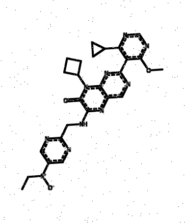 CC[S+]([O-])c1cnc(CNc2nc3cnc(-c4c(OC)ncnc4C4CC4)nc3n(C3CCC3)c2=O)nc1